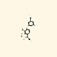 CN1C(C#N)c2ccc(Oc3cc(F)cc(C#N)c3)c(C(F)F)c2S1(=O)=O